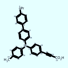 CCCc1ccc(-c2ccc(N(c3ccc(C)cc3)c3ccc(C#CC(=O)O)cc3)cc2)cc1